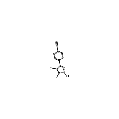 C#Cc1ccc(-c2nn(CC)c(C)c2Cl)cn1